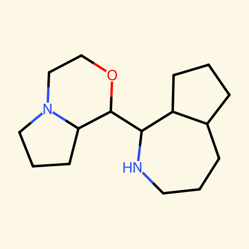 C1CNC(C2OCCN3CCCC23)C2CCCC2C1